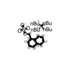 CCCC[N+](CCCC)(CCCC)CCCC.O=S(=O)([O-])OCc1cccc2ccccc12